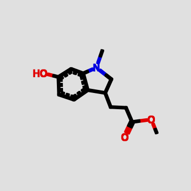 COC(=O)CCC1CN(C)c2cc(O)ccc21